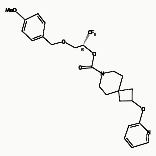 COc1ccc(COC[C@@H](OC(=O)N2CCC3(CC2)CC(Oc2ccccn2)C3)C(F)(F)F)cc1